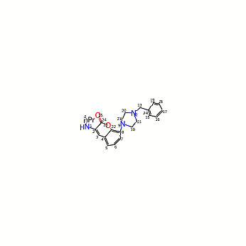 CCCNc1cc2cccc(N3CCN(Cc4ccccc4)CC3)c2oc1=O